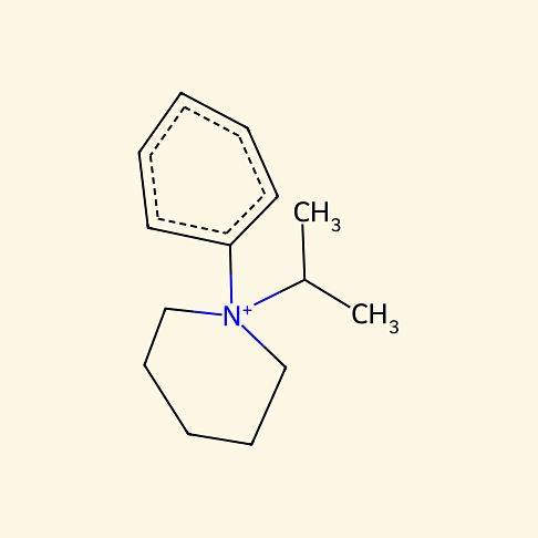 CC(C)[N+]1(c2ccccc2)CCCCC1